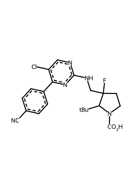 CC(C)(C)C1N(C(=O)O)CCC1(F)CNc1ncc(Cl)c(-c2ccc(C#N)cc2)n1